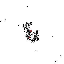 CC(C)(C)OC(=O)NC[C@@H]1CCC[C@H]1C(=O)NC[C@@H]1CCC[C@H]1C(=O)NC[C@@H]1CCC[C@H]1C(=O)NC[C@@H]1CCC[C@H]1C(=O)NC[C@@H]1CCC[C@H]1C(=O)NC[C@@H]1CCC[C@H]1C(=O)NC[C@@H]1CCC[C@H]1C(=O)NC[C@@H]1CCC[C@H]1C(=O)OCc1ccccc1